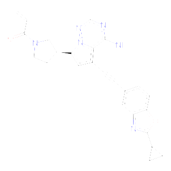 C=CC(=O)N1CC[C@H](c2cc(C#Cc3ccc4oc(C5CC5)nc4c3)c3c(N)ncnn23)C1